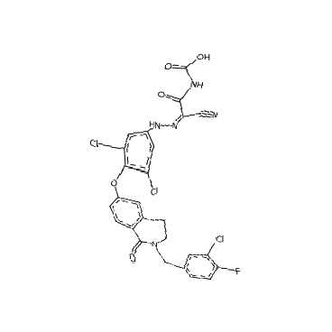 N#CC(=NNc1cc(Cl)c(Oc2ccc3c(c2)CCN(Cc2ccc(F)c(Cl)c2)C3=O)c(Cl)c1)C(=O)NC(=O)O